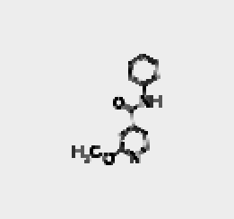 COc1cc(C(=O)Nc2ccccc2)ccn1